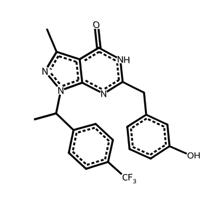 Cc1nn(C(C)c2ccc(C(F)(F)F)cc2)c2nc(Cc3cccc(O)c3)[nH]c(=O)c12